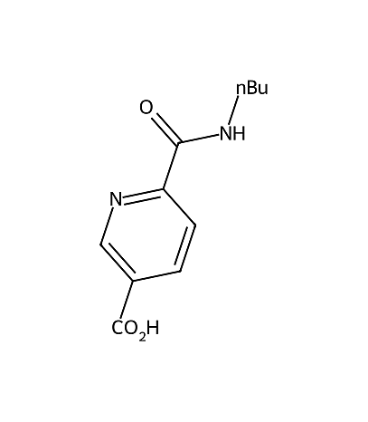 [CH2]CCCNC(=O)c1ccc(C(=O)O)cn1